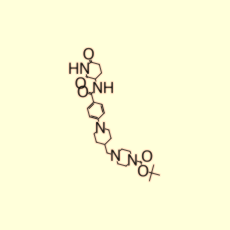 CC(C)(C)OC(=O)N1CCN(CC2CCN(c3ccc(C(=O)NC4CCC(=O)NC4=O)cc3)CC2)CC1